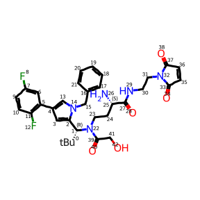 CC(C)(C)[C@H](c1cc(-c2cc(F)ccc2F)cn1Cc1ccccc1)N(CC[C@H](N)C(=O)NCCN1C(=O)C=CC1=O)C(=O)CO